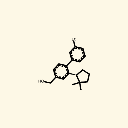 CCc1cccc(-c2ccc(CO)cc2[C@H]2CCCC2(C)C)c1